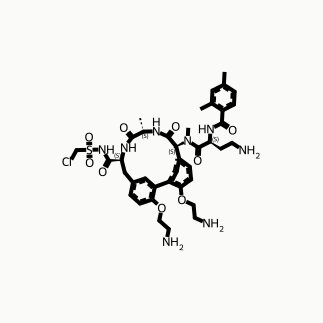 Cc1ccc(C(=O)N[C@@H](CCN)C(=O)N(C)[C@@H]2C(=O)N[C@@H](C)C(=O)N[C@H](C(=O)NS(=O)(=O)CCl)Cc3ccc(OCCN)c(c3)-c3cc2ccc3OCCN)c(C)c1